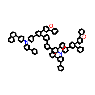 c1ccc(-c2cccc(N(c3ccc(-c4ccc(-c5ccc6oc7ccccc7c6c5)c(-c5cccc(-c6cccc(-c7ccc(N(c8ccc(-c9ccc(-c%10ccc%11oc%12ccccc%12c%11c%10)c(-c%10ccccc%10)c9)cc8)c8ccc(-c9ccccc9)cc8-c8ccccc8)c(-c8ccccc8)c7)c6)c5)c4)cc3)c3ccc(-c4cccc5ccccc45)cc3)c2)cc1